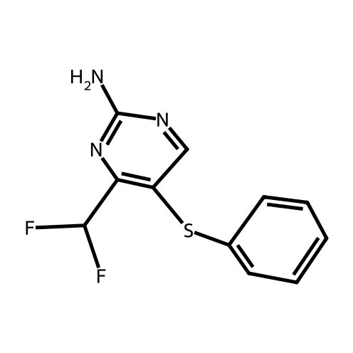 Nc1ncc(Sc2ccccc2)c(C(F)F)n1